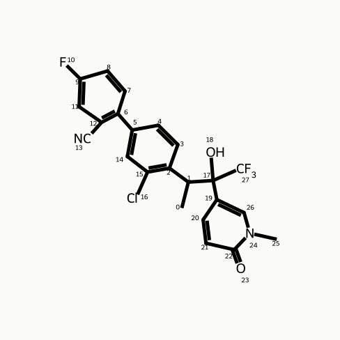 CC(c1ccc(-c2ccc(F)cc2C#N)cc1Cl)C(O)(c1ccc(=O)n(C)c1)C(F)(F)F